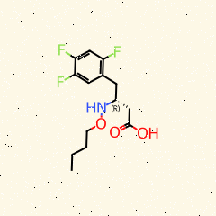 CCCCON[C@@H](CC(=O)O)Cc1cc(F)c(F)cc1F